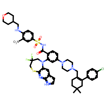 CC1(C)CCC(CN2CCN(c3ccc(C(=O)NS(=O)(=O)c4ccc(NCC5CCOCC5)c([N+](=O)[O-])c4)c(N4CC(F)(F)CSc5nc6[nH]ccc6cc54)c3)CC2)=C(c2ccc(Cl)cc2)C1